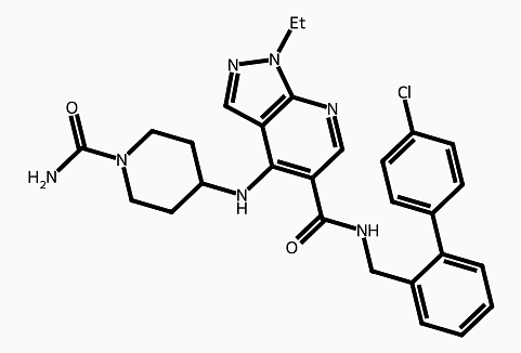 CCn1ncc2c(NC3CCN(C(N)=O)CC3)c(C(=O)NCc3ccccc3-c3ccc(Cl)cc3)cnc21